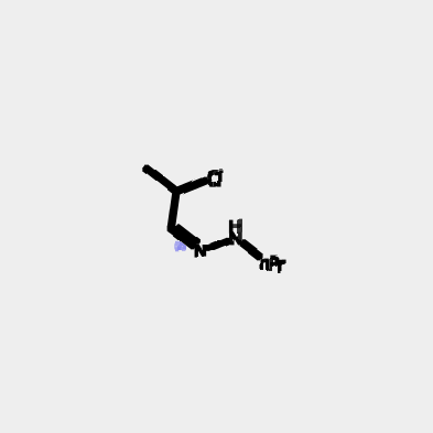 CCCN/N=C\C(C)Cl